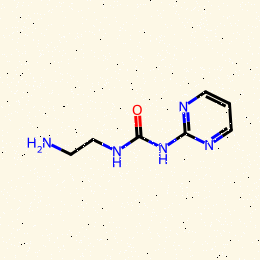 NCCNC(=O)Nc1ncccn1